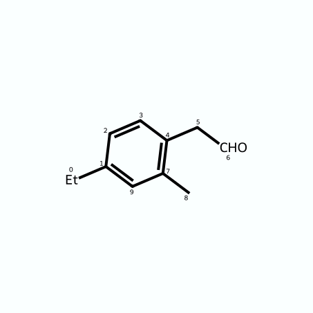 CCc1ccc(CC=O)c(C)c1